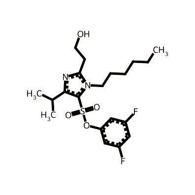 CCCCCCn1c(CCO)nc(C(C)C)c1S(=O)(=O)Oc1cc(F)cc(F)c1